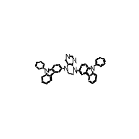 c1ccc(-n2c3ccccc3c3cc(N4CCN(c5ccc6c(c5)c5ccccc5n6-c5ccccc5)c5ncncc54)ccc32)cc1